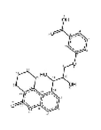 O=C(O)c1cccc(OCC(O)C(O)c2cccc3oc(=O)c4c(c23)CCCC4)c1